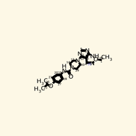 CCO/N=C\c1c(N)ncnc1N1CCN(C(=O)Nc2ccc(OC(C)C)cc2)CC1